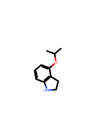 CC(C)Oc1cccc2c1CCN2